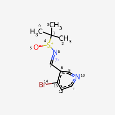 CC(C)(C)[S+]([O-])/N=C/c1cnccc1Br